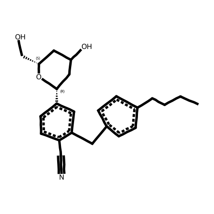 CCCCc1ccc(Cc2cc([C@H]3CC(O)C[C@@H](CO)O3)ccc2C#N)cc1